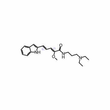 CCN(CC)CCCNC(=O)/C(=C/C=C/c1cc2ccccc2[nH]1)OC